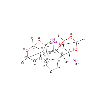 CC12CC3(C)OC(C)(CC(C)(O1)C3(CP)[C@@H]1CCC[C@@H]1C1(CP)C3(C)CC4(C)OC(C)(CC1(C)O4)O3)O2